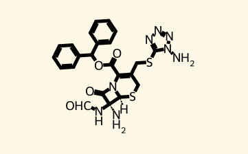 Nn1nnnc1SCC1=C(C(=O)OC(c2ccccc2)c2ccccc2)N2C(=O)[C@](N)(NC=O)[C@@H]2SC1